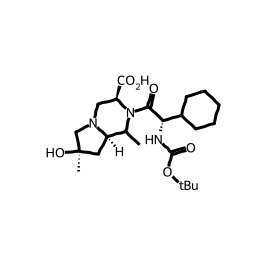 CC1[C@H]2C[C@@](C)(O)CN2C[C@@H](C(=O)O)N1C(=O)[C@@H](NC(=O)OC(C)(C)C)C1CCCCC1